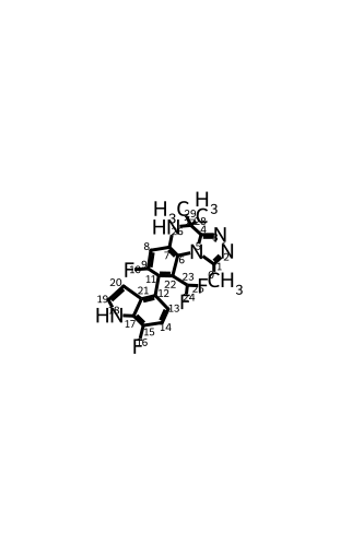 Cc1nnc2n1-c1c(cc(F)c(-c3ccc(F)c4[nH]ccc34)c1C(F)F)NC2(C)C